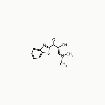 CN(C)C=C(C#N)C(=O)c1nc2ccccc2s1